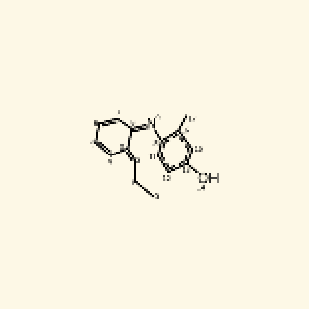 CC/C=C1\C=CC=C\C1=N\c1ccc(O)cc1C